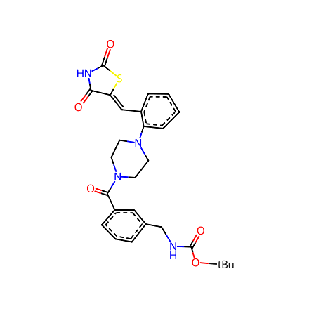 CC(C)(C)OC(=O)NCc1cccc(C(=O)N2CCN(c3ccccc3/C=C3\SC(=O)NC3=O)CC2)c1